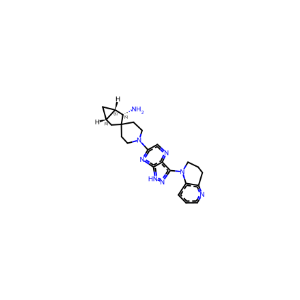 N[C@H]1[C@H]2C[C@H]2CC12CCN(c1cnc3c(N4CCCc5ncccc54)n[nH]c3n1)CC2